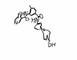 Cc1ccc(C(=O)Nc2ccc(N3CCN(CCO)CC3)cc2)cc1NC(=O)c1cncn1C